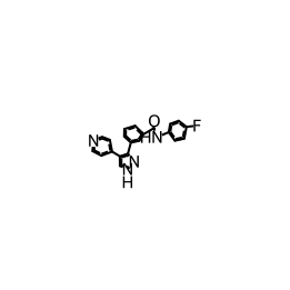 O=C(Nc1ccc(F)cc1)c1cccc(-c2n[nH]cc2-c2ccncc2)c1